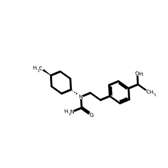 CC(O)c1ccc(CCN(C(N)=O)[C@H]2CC[C@H](C)CC2)cc1